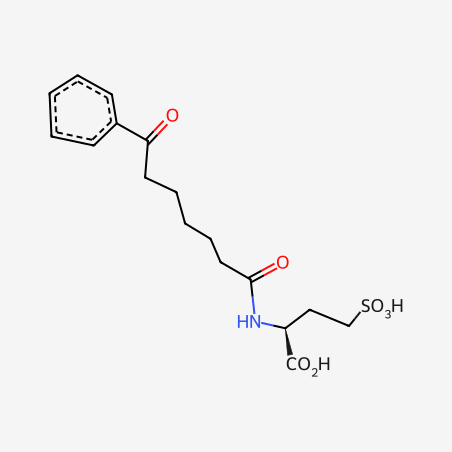 O=C(CCCCCC(=O)c1ccccc1)N[C@@H](CCS(=O)(=O)O)C(=O)O